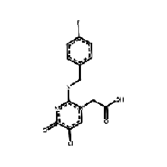 O=C(O)Cn1cc(Cl)c(=O)nc1SCc1ccc(F)cc1